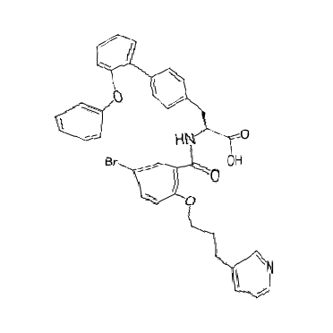 O=C(N[C@@H](Cc1ccc(-c2ccccc2Oc2ccccc2)cc1)C(=O)O)c1cc(Br)ccc1OCCCc1cccnc1